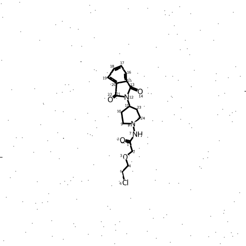 O=C(COCCCl)NN1CCC(N2C(=O)c3ccccc3C2=O)CC1